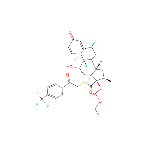 CCOC(=O)O[C@]1(C(=O)SCC(=O)c2ccc(C(F)(F)F)cc2)[C@H](C)C[C@H]2[C@@H]3C[C@H](F)C4=CC(=O)C=C[C@]4(C)[C@@]3(F)[C@@H](O)C[C@@]21C